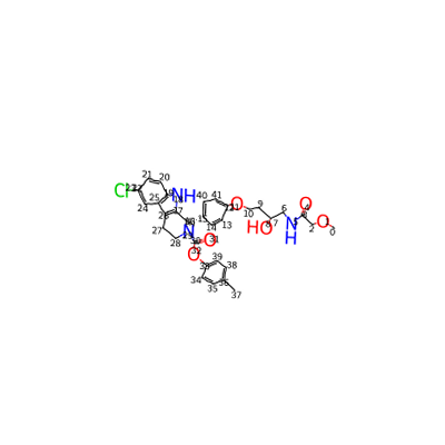 COCC(=O)NCC(O)CCOc1ccc([C@H]2c3[nH]c4ccc(Cl)cc4c3CCN2C(=O)Oc2ccc(C)cc2)cc1